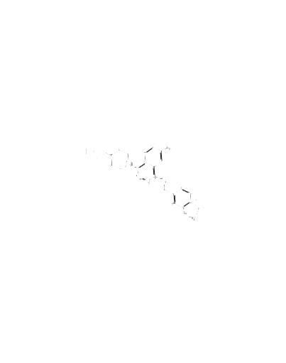 O=C(O)C1CCN(c2nnc(NCc3ccc4c(c3)OOC4)c3cc(Cl)ccc23)CC1